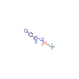 O=C(NCCc1nc(-c2ccc(N3CCCC3)cc2)c[nH]1)OCCCC(F)(F)F